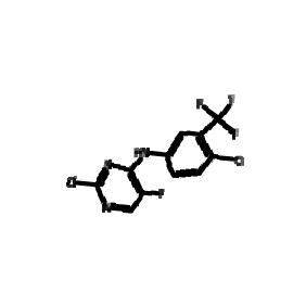 Fc1cnc(Cl)nc1Nc1ccc(Cl)c(C(F)(F)F)c1